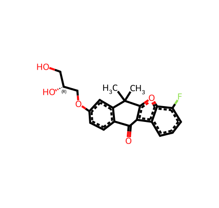 CC1(C)c2cc(OC[C@H](O)CO)ccc2C(=O)c2c1oc1c(F)cccc21